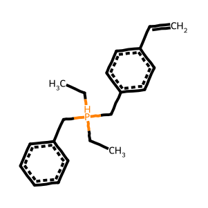 C=Cc1ccc(C[PH](CC)(CC)Cc2ccccc2)cc1